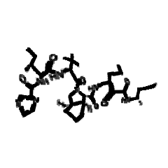 CCC[C@H](NC(=O)[C@@H]1[C@H]2CCC[C@H]2CN1C(=O)[C@@H](NC(=O)[C@@H](NC(=O)c1cnccn1)[C@@H](C)CC)C(C)(C)C)C(=O)C(=O)N[C@@H](C)CC